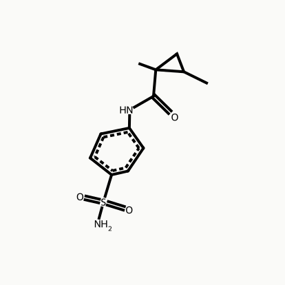 CC1CC1(C)C(=O)Nc1ccc(S(N)(=O)=O)cc1